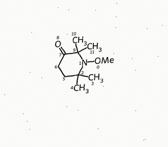 CON1C(C)(C)CCC(=O)C1(C)C